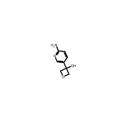 Nc1ccc(C2(O)COC2)cn1